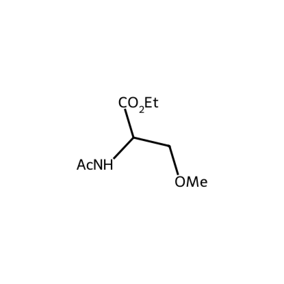 CCOC(=O)C(COC)NC(C)=O